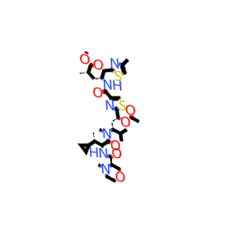 COC(=O)[C@@H](C)C[C@H](Cc1nc(C)cs1)NC(=O)c1csc([C@@H](C[C@H](C(C)C)N(C)C(=O)[C@@H](NC(=O)[C@H]2COCCN2C)[C@@H](C)C2CC2)OC(C)=O)n1